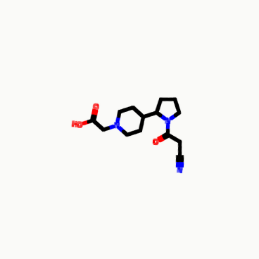 N#CCC(=O)N1CCCC1C1CCN(CC(=O)O)CC1